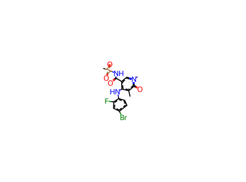 Cc1c(Nc2ccc(Br)cc2F)c(C(=O)NS(C)(=O)=O)cn(C)c1=O